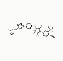 CC(O)CCc1cn(-c2ccc(CN3C(=S)N(c4ccc(C#N)c(C(F)(F)F)c4)C(=O)C3(C)C)cc2)nn1